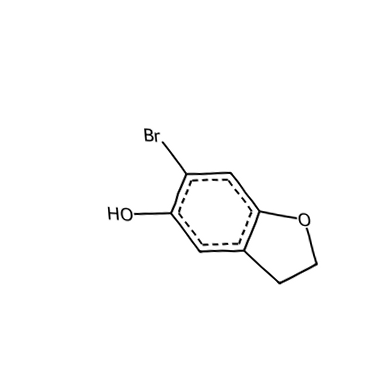 Oc1cc2c(cc1Br)OCC2